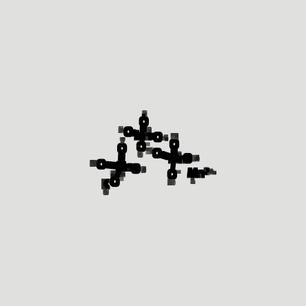 [K+].[Mn+2].[O]=[Mn](=[O])(=[O])[O-].[O]=[Mn](=[O])(=[O])[O-].[O]=[Mn](=[O])(=[O])[O-]